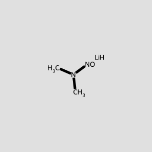 CN(C)N=O.[LiH]